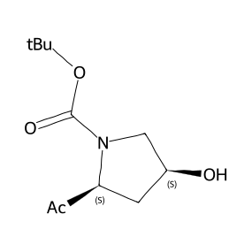 CC(=O)[C@@H]1C[C@H](O)CN1C(=O)OC(C)(C)C